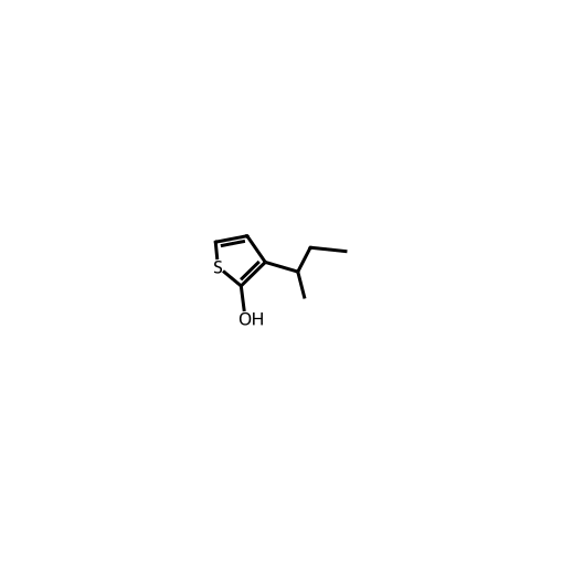 CCC(C)c1ccsc1O